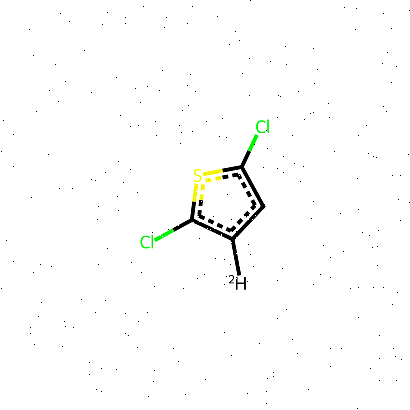 [2H]c1cc(Cl)sc1Cl